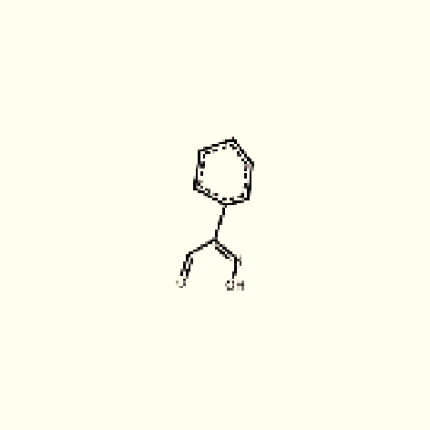 O=CC(=NO)c1ccccc1